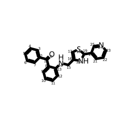 O=C(c1ccccc1)c1ccccc1NCC1=CSC(c2cccnc2)N1